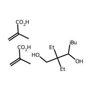 C=C(C)C(=O)O.C=C(C)C(=O)O.CCC(C)C(O)C(CC)(CC)CO